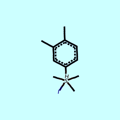 Cc1ccc([SH](C)(C)(C)I)cc1C